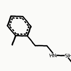 Cc1ccccc1CCN[SiH2]F